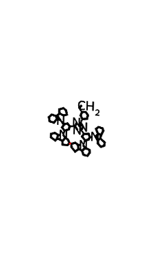 C=Cc1cccc(-c2nc(-c3cc(-n4c5ccccc5c5ccccc54)cc(-n4c5ccccc5c5ccccc54)c3)nc(-c3cc(-n4c5ccccc5c5ccccc54)cc(-n4c5ccccc5c5ccccc54)c3)n2)c1